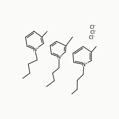 CCCC[n+]1cccc(C)c1.CCCC[n+]1cccc(C)c1.CCCC[n+]1cccc(C)c1.[Cl-].[Cl-].[Cl-]